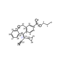 CCCOC(=O)c1ccc2c(c1)COc1ccccc1/C2=C(\C#N)C1CC1